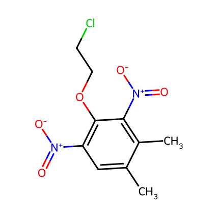 Cc1cc([N+](=O)[O-])c(OCCCl)c([N+](=O)[O-])c1C